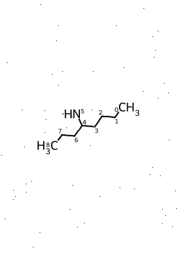 CCCCC([NH])CCC